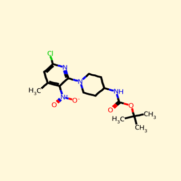 Cc1cc(Cl)nc(N2CCC(NC(=O)OC(C)(C)C)CC2)c1[N+](=O)[O-]